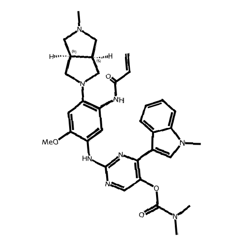 C=CC(=O)Nc1cc(Nc2ncc(OC(=O)N(C)C)c(-c3cn(C)c4ccccc34)n2)c(OC)cc1N1C[C@H]2CN(C)C[C@H]2C1